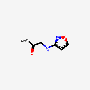 COC(=O)CNc1ccon1